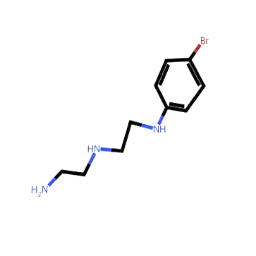 NCCNCCNc1ccc(Br)cc1